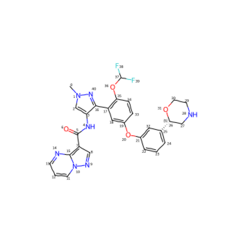 Cn1cc(NC(=O)c2cnn3cccnc23)c(-c2cc(Oc3cccc([C@H]4CNCCO4)c3)ccc2OC(F)F)n1